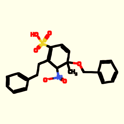 CC1(OCc2ccccc2)C=CC(S(=O)(=O)O)=C(CCc2ccccc2)C1[N+](=O)[O-]